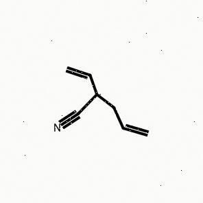 C=CC[C](C#N)C=C